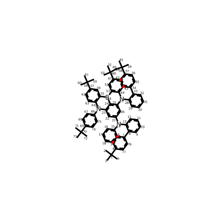 CC(C)(C)c1ccc(-c2ccccc2N(c2ccccc2)c2cc3c4c(c2)N(c2ccccc2-c2ccc(C(C)(C)C)cc2)c2ccc(C(C)(C)C)cc2B4c2cc(C(C)(C)C)ccc2N3c2ccc(C(C)(C)C)cc2)cc1